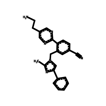 Cc1nc(-c2ccccc2)cn1Cc1cc(C#N)ccc1-c1ncc(CCN)cn1